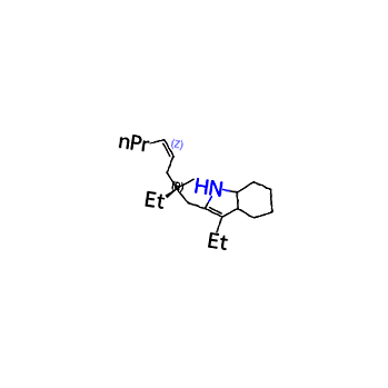 CCC/C=C\C[C@@](C)(CC)CC1=C(CC)C2CCCCC2N1